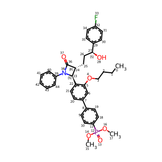 CCCCOc1cc(-c2ccc(P(=O)(OC)OC)cc2)ccc1[C@@H]1[C@@H](CC[C@H](O)c2ccc(F)cc2)C(=O)N1c1ccccc1